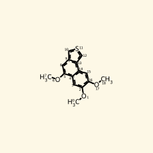 COc1cc2c(OC)cc3cscc3c2cc1OC